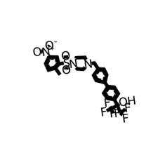 Cc1ccc([N+](=O)[O-])cc1S(=O)(=O)N1CCN(Cc2ccc(-c3ccc(C(O)(C(F)(F)F)C(F)(F)F)cc3)cc2)CC1